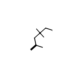 C=C(C)CC(F)(F)CC